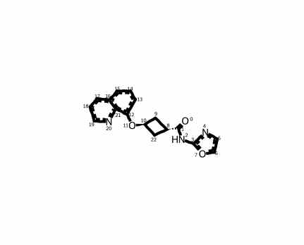 O=C(Nc1ncco1)[C@H]1C[C@H](Oc2cccc3cccnc23)C1